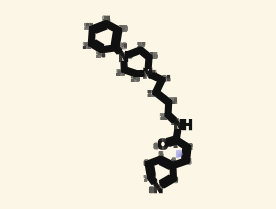 O=C(/C=C\c1cccnc1)NCCCCN1CCN(c2ccccc2)CC1